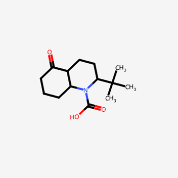 CC(C)(C)C1CCC2C(=O)CCCC2N1C(=O)O